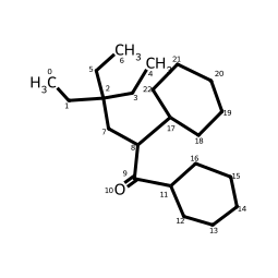 CCC(CC)(CC)CC(C(=O)C1CCCCC1)C1CCCCC1